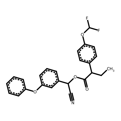 CCC(C(=O)OC(C#N)c1cccc(Oc2ccccc2)c1)c1ccc(OC(F)F)cc1